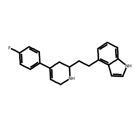 Fc1ccc(C2=CCNC(CCc3cccc4[nH]ccc34)C2)cc1